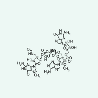 CO[C@@H]1[C@H](P(=O)([O-])OC[C@H]2O[C@@H](n3cnc4c(=O)[nH]c(N)nc43)[C@H](O)[C@@H]2O)[C@@H](COP(=O)(O)OP(=O)(O)OP(=O)(O)OC[C@H]2O[C@@H](n3c[n+](C)c4c(=O)[nH]c(N)nc43)[C@H](O)[C@@H]2CNC=O)O[C@H]1n1cnc2c(N)ncnc21